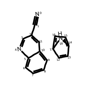 N#Cc1cnc2ccccc2c1.c1cc2ccc1[nH]2